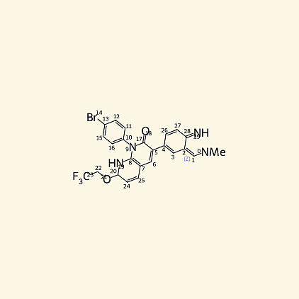 CN/C=C1/C=C(c2cc3c(n(-c4ccc(Br)cc4)c2=O)NC(OCC(F)(F)F)C=C3)C=CC1=N